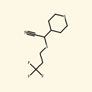 N#CC(SCCC(F)(F)F)C1CCSCC1